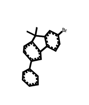 CC1(C)c2ccc(-c3ccccc3)cc2-c2ccc(Br)cc21